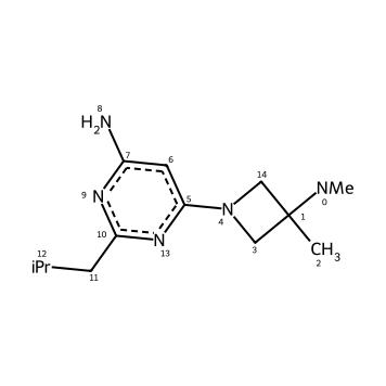 CNC1(C)CN(c2cc(N)nc(CC(C)C)n2)C1